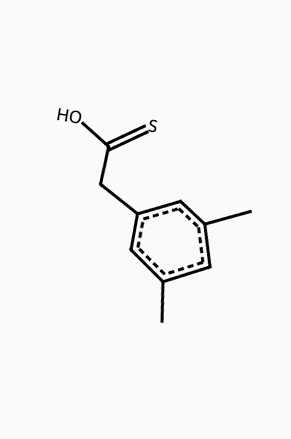 Cc1cc(C)cc(CC(O)=S)c1